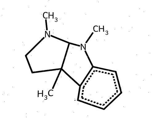 CN1CCC2(C)c3[c]cccc3N(C)C12